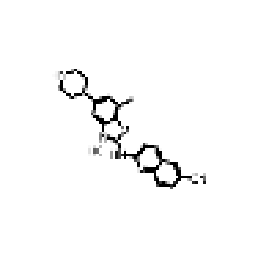 Cl.N#Cc1ccc2nc(Nc3nc4cc(C5CCNCC5)cc(F)c4o3)ccc2c1